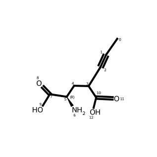 CC#CC(C[C@@H](N)C(=O)O)C(=O)O